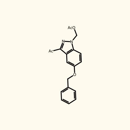 CC(=O)OCn1nc(C(C)=O)c2cc(OCc3ccccc3)ccc21